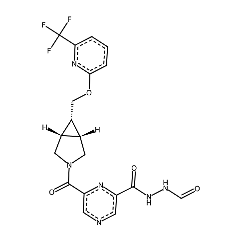 O=CNNC(=O)c1cncc(C(=O)N2C[C@@H]3[C@H](COc4cccc(C(F)(F)F)n4)[C@@H]3C2)n1